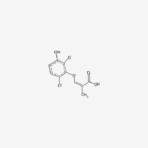 CC(=COc1c(Cl)ccc(O)c1Cl)C(=O)O